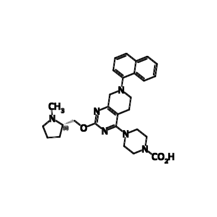 CN1CCC[C@H]1COc1nc2c(c(N3CCN(C(=O)O)CC3)n1)CCN(c1cccc3ccccc13)C2